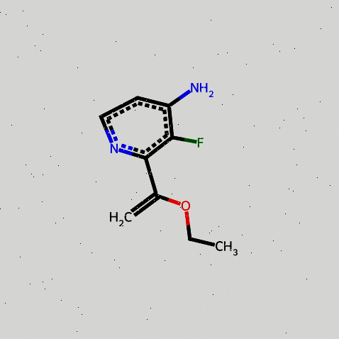 C=C(OCC)c1nccc(N)c1F